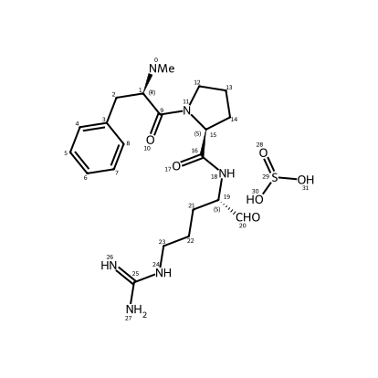 CN[C@H](Cc1ccccc1)C(=O)N1CCC[C@H]1C(=O)N[C@H](C=O)CCCNC(=N)N.O=S(O)O